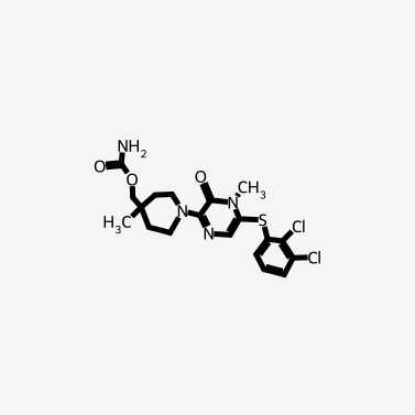 Cn1c(Sc2cccc(Cl)c2Cl)cnc(N2CCC(C)(COC(N)=O)CC2)c1=O